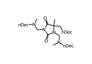 CCCCCCCCCCCC1(C)C(=O)N(CN(C)CCCCCCCCCC)C(=O)N1CN(C)CCCCCCCCCC